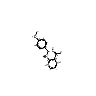 COc1ccc(CNc2nccnc2C(C)=O)cc1